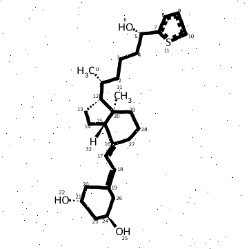 C[C@H](CCC[C@H](O)c1cccs1)[C@H]1CC[C@H]2/C(=C/C=C3C[C@@H](O)C[C@H](O)C3)CCC[C@]12C